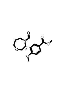 COC(=O)c1ccc(OC)c([C@@H]2COCCCN2C=O)c1